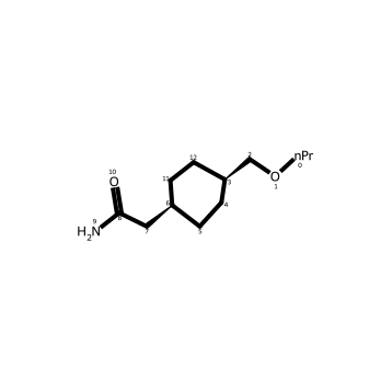 CCCOC[C@H]1CC[C@@H](CC(N)=O)CC1